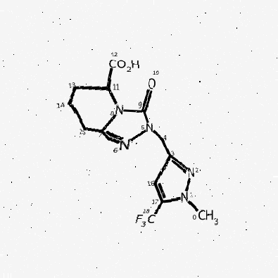 Cn1nc(Cn2nc3n(c2=O)C(C(=O)O)CCC3)cc1C(F)(F)F